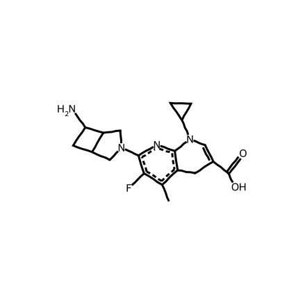 Cc1c(F)c(N2CC3CC(N)C3C2)nc2c1CC(C(=O)O)=CN2C1CC1